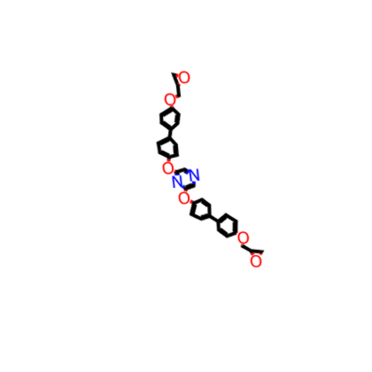 c1cc(-c2ccc(Oc3cncc(Oc4ccc(-c5ccc(OCC6CO6)cc5)cc4)n3)cc2)ccc1OCC1CO1